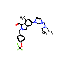 CCN(CC)CN1C=CN(c2cc(C)c3c(c2)CN(Cc2ccc(OC(F)(F)F)cc2)C3C=O)C1